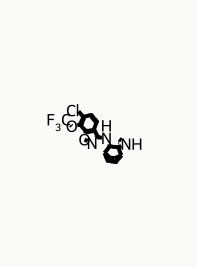 FC(F)(F)Oc1c(Cl)ccc2c(NC3C4CCC(CC4)[C@@]34CN4)noc12